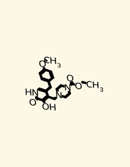 CCOC(=O)N1CCN(Cc2c(Cc3ccc(OC)cc3)c[nH]c(=O)c2O)CC1